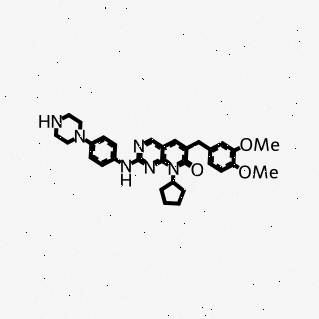 COc1ccc(Cc2cc3cnc(Nc4ccc(N5CCNCC5)cc4)nc3n(C3CCCC3)c2=O)cc1OC